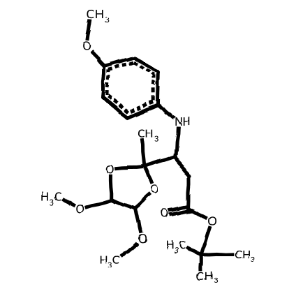 COc1ccc(NC(CC(=O)OC(C)(C)C)C2(C)OC(OC)C(OC)O2)cc1